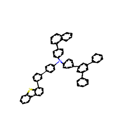 c1ccc(-c2cc(-c3ccccc3)cc(-c3ccc(N(c4ccc(-c5cccc(-c6cccc7c6sc6ccccc67)c5)cc4)c4ccc(-c5cccc6ccccc56)cc4)cc3)c2)cc1